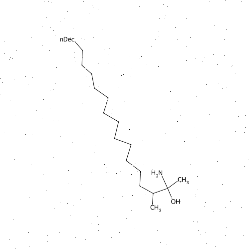 CCCCCCCCCCCCCCCCCCCCCCC(C)C(C)(N)O